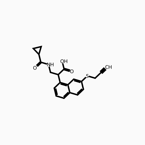 C#CCSc1ccc2cccc(C(CNC(=O)C3CC3)C(=O)O)c2c1